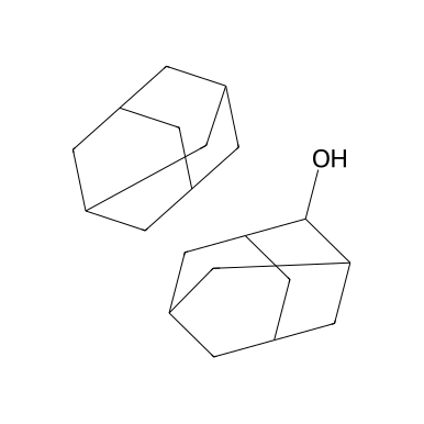 C1C2CC3CC1CC(C2)C3.OC1C2CC3CC(C2)CC1C3